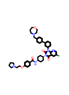 O=C(N[C@H]1CC[C@@H](n2c(=O)c3cc(F)cnc3n(-c3cccc(-c4ccc(CN5CCCOCC5)cc4)c3)c2=O)CC1)c1ccc(OCCN2CCCC2)cc1